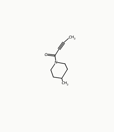 CC#CC(=O)N1CCC(C)CC1